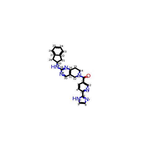 O=C(c1ccc(-c2ncc[nH]2)nc1)N1CCc2nc(NC3Cc4ccccc4C3)ncc2C1